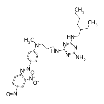 CCCCC(CC)CNc1nc(N)nc(NCCCN(C)c2ccc(/N=N/c3ccc(N=O)cc3[N+](=O)[O-])cc2)n1